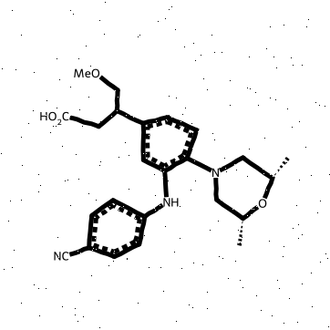 COCC(CC(=O)O)c1ccc(N2C[C@@H](C)O[C@@H](C)C2)c(Nc2ccc(C#N)cc2)c1